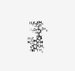 Cc1c(-c2[nH]c3ccc(N4C[C@H](C)N(C(=O)CN(C)C)[C@@H](C)C4)nc3c2C(C)C)cn2ncnc2c1C